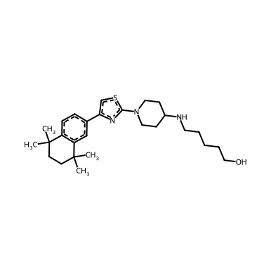 CC1(C)CCC(C)(C)c2cc(-c3csc(N4CCC(NCCCCCO)CC4)n3)ccc21